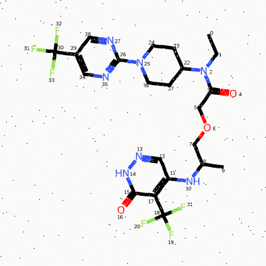 CCN(C(=O)COCC(C)Nc1cn[nH]c(=O)c1C(F)(F)F)C1CCN(c2ncc(C(F)(F)F)cn2)CC1